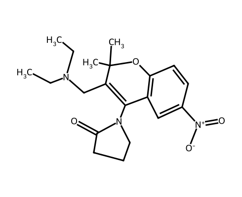 CCN(CC)CC1=C(N2CCCC2=O)c2cc([N+](=O)[O-])ccc2OC1(C)C